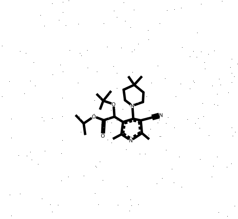 Cc1nc(C)c(C(OC(C)(C)C)C(=O)OC(C)C)c(N2CCC(C)(C)CC2)c1C#N